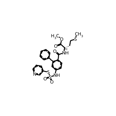 COC(=O)[C@H](CCSC)NC(=O)c1ccc(NS(=O)(=O)Sc2cccnc2)cc1-c1ccccc1